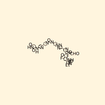 CCN(C)S(=O)(=O)Nc1ccc(F)c(C(=O)c2cn(OC=O)c3ncc(-c4cnc(N5CCC(N(C)CC(=O)N6CCC(c7ccc(NC8CCC(=O)NC8=O)cn7)CC6)CC5)nc4)cc23)c1F